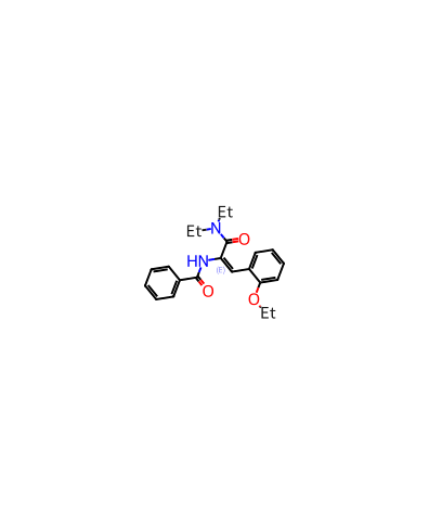 CCOc1ccccc1/C=C(/NC(=O)c1ccccc1)C(=O)N(CC)CC